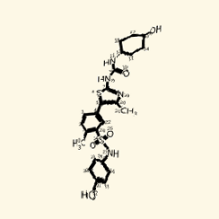 Cc1ccc(-c2sc(NC(=O)N[C@H]3CC[C@H](O)CC3)nc2C)cc1S(=O)(=O)Nc1ccc(O)cc1